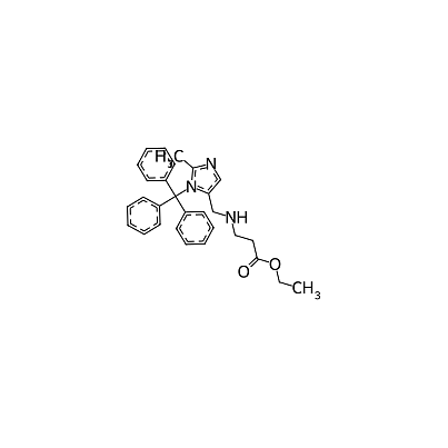 CCOC(=O)CCNCc1cnc(C)n1C(c1ccccc1)(c1ccccc1)c1ccccc1